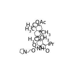 CC(=O)O[C@H]1CC[C@@]2(C)C(CC[C@]3(C)C2CCC2C4=C(C(C)C)C(=O)C[C@]4(NC(=O)OCCN4CCCC4)CC[C@]23C)C1(C)C